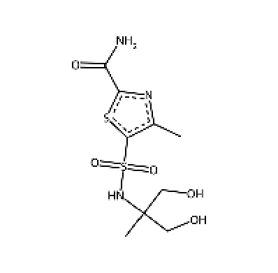 Cc1nc(C(N)=O)sc1S(=O)(=O)NC(C)(CO)CO